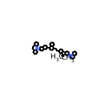 CC1(C)c2cc(/C=C/c3ccc(-c4ccc5cc(N6c7ccccc7C=Cc7ccccc76)ccc5c4)c4ccccc34)ccc2-c2ccc(N3CCCc4ccccc43)cc21